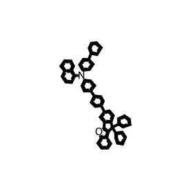 c1ccc(-c2ccc(N(c3ccc(-c4ccc(-c5ccc6c(c5)-c5oc7ccccc7c5C6(c5ccccc5)c5ccccc5)cc4)cc3)c3cccc4ccccc34)cc2)cc1